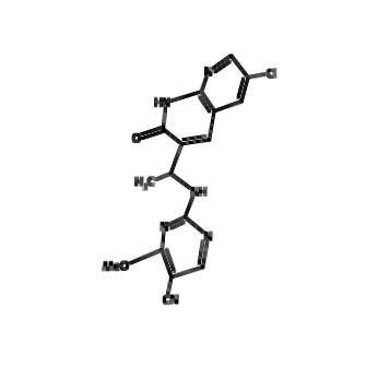 COc1nc(NC(C)c2cc3cc(Cl)cnc3[nH]c2=O)ncc1C#N